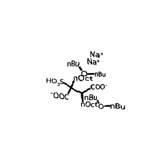 CCCCCCCCC(C(=O)[O-])C(CCCCCCCC)(C(=O)[O-])S(=O)(=O)O.CCCCOCCCC.CCCCOCCCC.[Na+].[Na+]